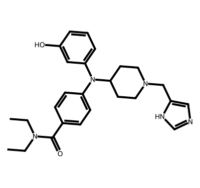 CCN(CC)C(=O)c1ccc(N(c2cccc(O)c2)C2CCN(Cc3cnc[nH]3)CC2)cc1